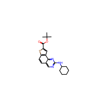 CC(C)(C)OC(=O)c1cc2c(ccc3cnc(NC4CCCCC4)nc32)s1